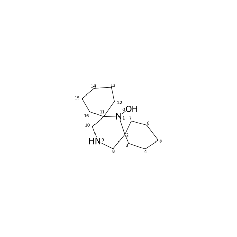 ON1C2(CCCCC2)CNCC12CCCCC2